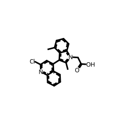 Cc1cccc2c1c(-c1cc(Cl)nc3ccccc13)c(C)n2CC(=O)O